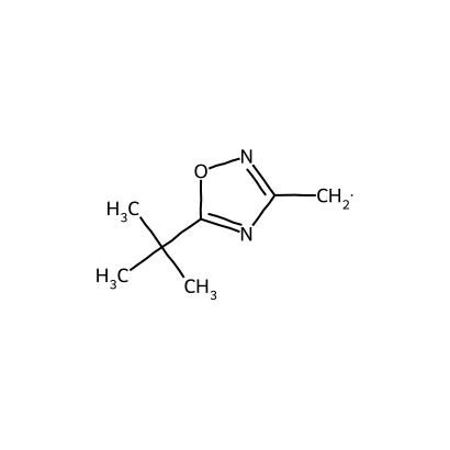 [CH2]c1noc(C(C)(C)C)n1